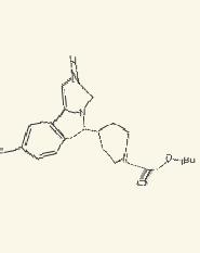 CC(C)(C)OC(=O)N1CCC(C2c3ccc(F)cc3C3=CNCN32)CC1